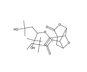 CCC(C)(C)C(=O)OC1C2CC3(C(=O)OC(CC(C)(C)O)C(C)(C)O)C(=O)OC1C3O2